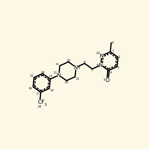 Cc1ccc(=O)n(CCN2CCN(c3cccc(C(F)(F)F)c3)CC2)n1